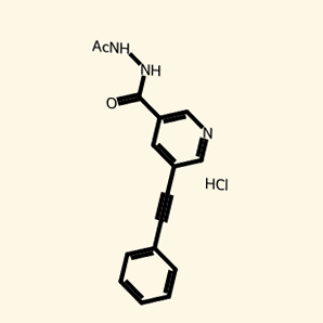 CC(=O)NNC(=O)c1cncc(C#Cc2ccccc2)c1.Cl